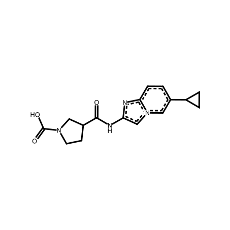 O=C(Nc1cn2cc(C3CC3)ccc2n1)C1CCN(C(=O)O)C1